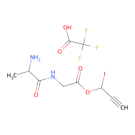 C#CC(I)OC(=O)CNC(=O)C(C)N.O=C(O)C(F)(F)F